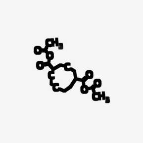 CC(=O)OC(=O)C1CCCCCC(C(=O)OC(C)=O)CCC1